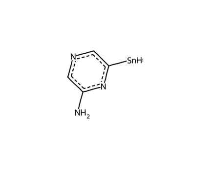 Nc1cnc[c]([SnH])n1